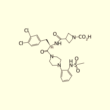 CS(=O)(=O)Nc1ccccc1N1CCN(C(=O)[C@@H](Cc2ccc(Cl)c(Cl)c2)NC(=O)C2CN(C(=O)O)C2)CC1